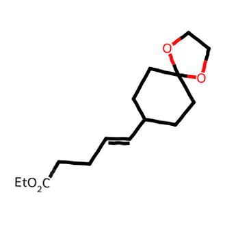 CCOC(=O)CC/C=C/C1CCC2(CC1)OCCO2